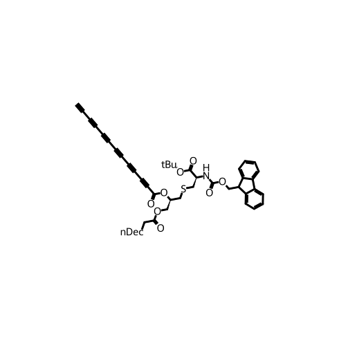 C#CC#CC#CC#CC#CC#CC(=O)O[C@H](COC(=O)CCCCCCCCCCC)CSC[C@H](NC(=O)OCC1c2ccccc2-c2ccccc21)C(=O)OC(C)(C)C